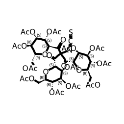 CC(=O)OC[C@H]1O[C@H](C(=O)C(N=C=S)(C(=O)[C@H]2O[C@H](COC(C)=O)[C@@H](OC(C)=O)[C@H](OC(C)=O)[C@@H]2OC(C)=O)C(=O)[C@H]2O[C@H](COC(C)=O)[C@@H](OC(C)=O)[C@H](OC(C)=O)[C@@H]2OC(C)=O)[C@@H](OC(C)=O)[C@@H](OC(C)=O)[C@@H]1OC(C)=O